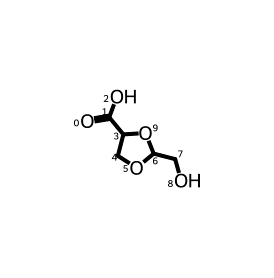 O=C(O)C1COC(CO)O1